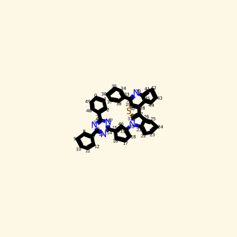 c1ccc(-c2nc(-c3ccccc3)nc(-c3cccc(-n4c5ccccc5c5c6c(sc54)c(-c4ccccc4)nc4ccccc46)c3)n2)cc1